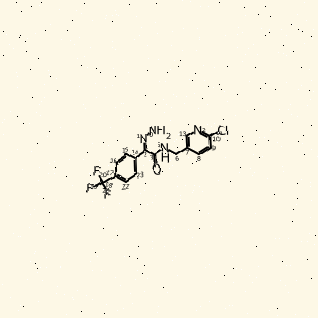 NN=C(C(=O)NCc1ccc(Cl)nc1)c1ccc(C(F)(F)F)cc1